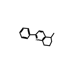 CC1CCCc2nc(-c3ccccc3)ccc21